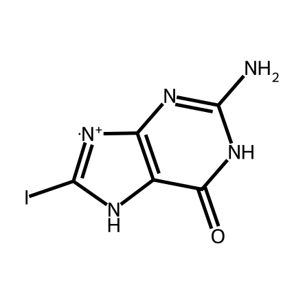 Nc1nc2c(c(=O)[nH]1)NC(I)=[N+]2